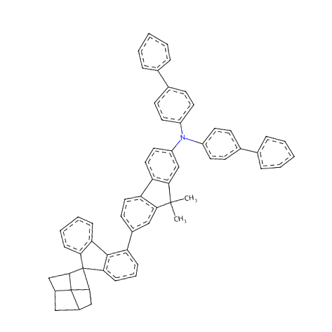 CC1(C)c2cc(-c3cccc4c3-c3ccccc3C43C4CC5CC6CC3C564)ccc2-c2ccc(N(c3ccc(-c4ccccc4)cc3)c3ccc(-c4ccccc4)cc3)cc21